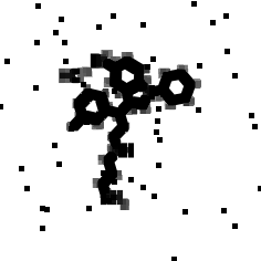 Cc1cccc(C(CCNCCCN)c2cn(C3CCCCC3)c3ccc(Br)cc23)c1.Cl